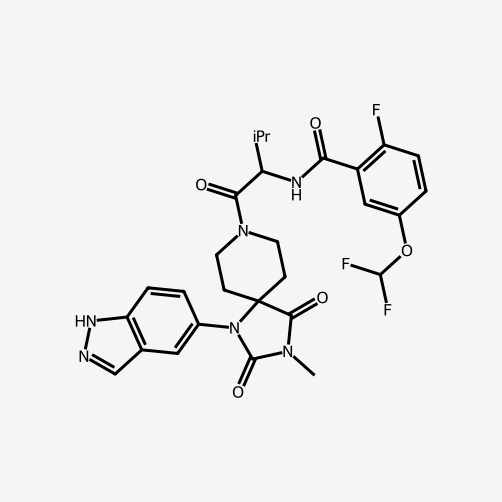 CC(C)C(NC(=O)c1cc(OC(F)F)ccc1F)C(=O)N1CCC2(CC1)C(=O)N(C)C(=O)N2c1ccc2[nH]ncc2c1